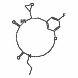 CCCN1CCCCOc2cc(F)cc(c2)CC(C2CO2)NC(=O)CCCC1=O